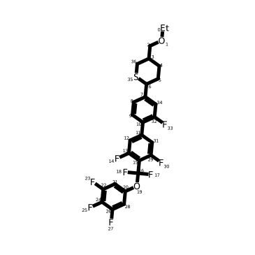 CCOCC1CCC(c2ccc(-c3cc(F)c(C(F)(F)Oc4cc(F)c(F)c(F)c4)c(F)c3)c(F)c2)SC1